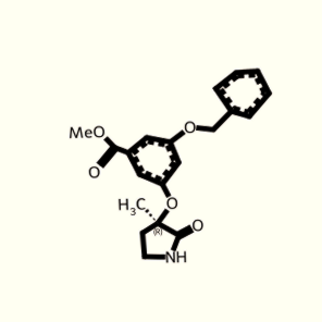 COC(=O)c1cc(OCc2ccccc2)cc(O[C@]2(C)CCNC2=O)c1